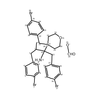 CC(Cc1ccc(Br)cc1)C(N)(Cc1ccc(Br)cc1)[N+]1(Cc2ccc(Br)cc2)CCOCC1.O=C[O-]